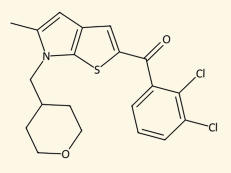 Cc1cc2cc(C(=O)c3cccc(Cl)c3Cl)sc2n1CC1CCOCC1